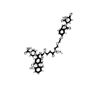 CN(CCOCCOc1ccc2c(c1)C(=O)N(C1CCC(=O)NC1=O)C2)C(=O)CCNc1nc(N2CCN(C(N)=O)CC2)c2cc(Cl)c(-c3c(O)cccc3F)c(F)c2n1